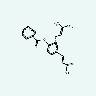 CC(C)=CCc1cc(/C=C/C(=O)O)ccc1OC(=O)c1ccncc1